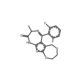 CC1N=C(c2c(F)cccc2F)c2c(sc3c2COCCO3)NC1=O